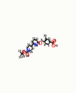 COC(=O)c1ccc(COc2cccc(C3CCN(C(=O)OC(C)(C)C)CC3)n2)c(C)c1